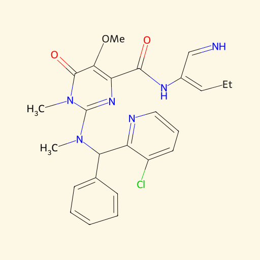 CC/C=C(\C=N)NC(=O)c1nc(N(C)C(c2ccccc2)c2ncccc2Cl)n(C)c(=O)c1OC